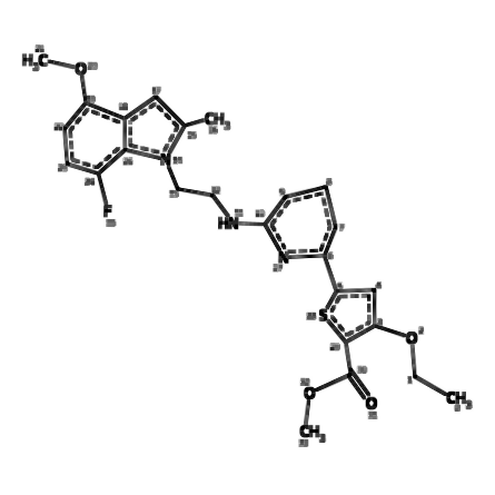 CCOc1cc(-c2cccc(NCCn3c(C)cc4c(OC)ccc(F)c43)n2)sc1C(=O)OC